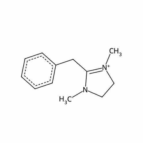 CN1CC[N+](C)=C1Cc1ccccc1